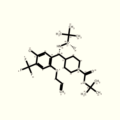 C=CCOc1cc(C(F)(F)F)c(Cl)cc1[C@H](N[S@@+]([O-])C(C)(C)C)C1CCN(C(=O)OC(C)(C)C)CC1